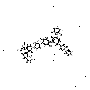 CC1(C)c2ccc(-c3ccc(-c4ccc(-c5cc(-c6ccc(-c7ccccn7)cc6)nc(-c6ccccc6)n5)cc4)cc3)cc2-c2c1ccc1ccccc21